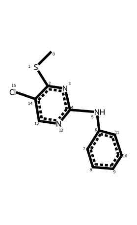 CSc1nc(Nc2ccccc2)ncc1Cl